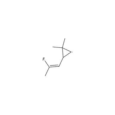 CC(F)=CC1[CH]C1(C)C